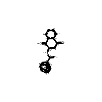 O=C1C=C(OC(=O)[C]23[CH]4[CH]5[CH]6[CH]2[Fe]56432789[CH]3[CH]2[CH]7[CH]8[CH]39)C(=O)c2ccccc21